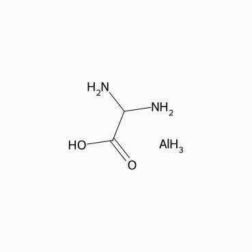 NC(N)C(=O)O.[AlH3]